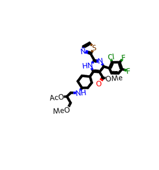 COCC(CNC1CCC(C2=C(C(=O)OC)C(c3ccc(F)c(F)c3Cl)N=C(c3nccs3)N2)CC1)OC(C)=O